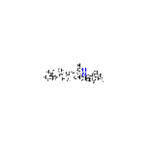 C=CC1=C(/C=C(C=C)/C(C=C)=C/C=C(\C=C)N/C(C=C)=C/C=C(\C=C)C(C)(C)CC)Cc2cc3c(cc21)CC(/C=C(\C=C)C(C)(CC)CC)=C3C=C